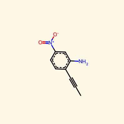 CC#Cc1ccc([N+](=O)[O-])cc1N